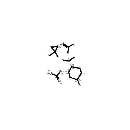 CC(C)=C[C@H]1CC1(C)C.CC(C)[C@@H]1CC[C@@H](C)C[C@@H]1NC(=O)O